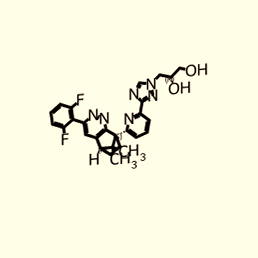 CC1(C)[C@H]2CC[C@]1(c1cccc(-c3ncn(C[C@@H](O)CO)n3)n1)c1nnc(-c3c(F)cccc3F)cc12